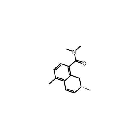 Cc1ccc(C(=O)N(C)C)c2c1C=C[C@@H](C)C2